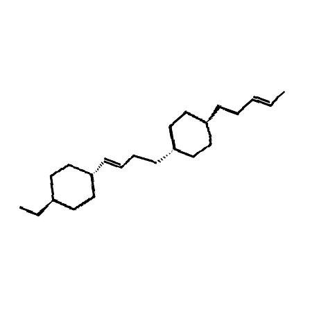 C/C=C/CC[C@H]1CC[C@H](CC/C=C/[C@H]2CC[C@H](CC)CC2)CC1